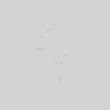 Cc1cn(-c2cncc3[nH]c(-c4n[nH]c5ccc(-c6cn[nH]c6)nc45)nc23)cn1